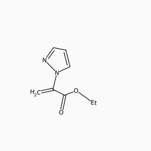 C=C(C(=O)OCC)n1cccn1